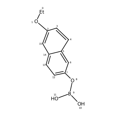 CCOc1ccc2cc(OB(O)O)ccc2c1